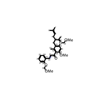 C=C(C)C(CC=C(C)C)Cc1c(OCOC)cc(OC)c(C(=O)/C=C/c2ccccc2OCOC)c1C